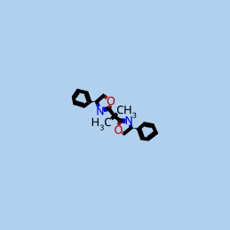 CC(C)(C1=N[C@H](c2ccccc2)CO1)C1=N[C@H](c2ccccc2)CO1